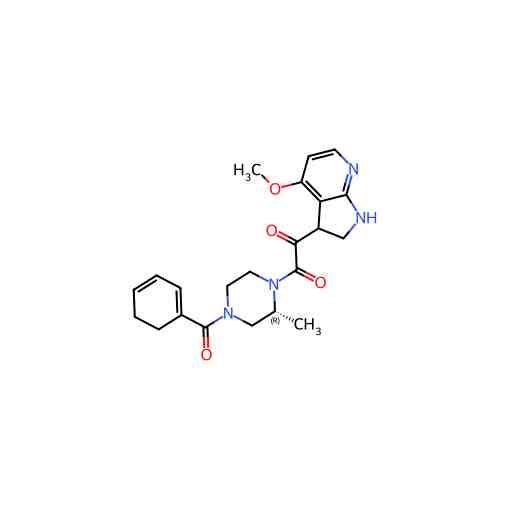 COc1ccnc2c1C(C(=O)C(=O)N1CCN(C(=O)C3=CC=CCC3)C[C@H]1C)CN2